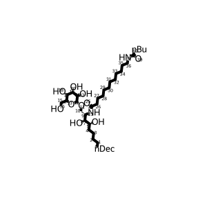 CCCCCCCCCCCCCC[C@@H](O)[C@@H](O)[C@H](CO[C@H]1OC(CO)[C@H](O)[C@H](O)C1O)NC(=O)CCCCCCCCCCCNC(=O)CCCC